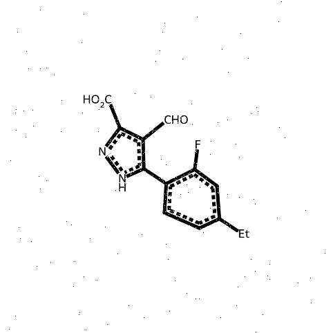 CCc1ccc(-c2[nH]nc(C(=O)O)c2C=O)c(F)c1